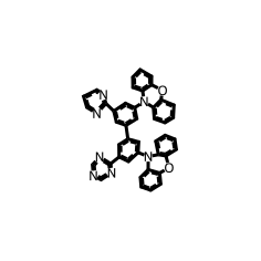 c1cnc(-c2cc(-c3cc(-c4ncncn4)cc(N4c5ccccc5Oc5ccccc54)c3)cc(N3c4ccccc4Oc4ccccc43)c2)nc1